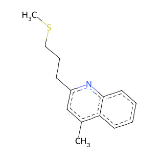 CSCCCc1cc(C)c2ccccc2n1